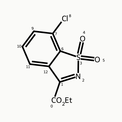 CCOC(=O)C1=NS(=O)(=O)c2c(Cl)cccc21